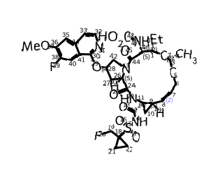 CC[C@@H]1C[C@H](C)CC/C=C\[C@@H]2C[C@@]2(C(=O)NS(=O)(=O)C2(CF)CC2)NC(=O)[C@@H]2C[C@@H](Oc3nccc4cc(OC)c(F)cc34)CN2C(=O)[C@H]1NC(=O)O